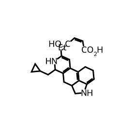 CCC1=CC2=C(CC3CNC4=CCCC2=C43)C(CC2CC2)N1.O=C(O)/C=C\C(=O)O